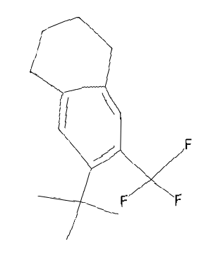 CC(C)(C)c1cc2c(cc1C(F)(F)F)CCCC2